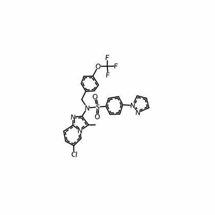 Cc1c(N(Cc2ccc(OC(F)(F)F)cc2)S(=O)(=O)c2ccc(-n3cccn3)cc2)nc2ccc(Cl)cn12